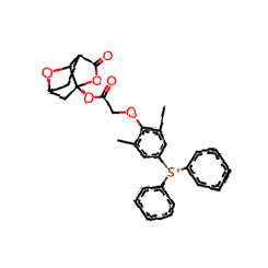 Cc1cc([S+](c2ccccc2)c2ccccc2)cc(C)c1OCC(=O)OC12CC3CC(C(=O)O1)C2O3